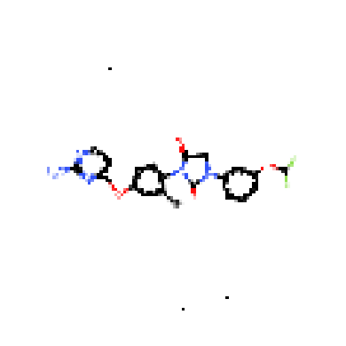 CC(C)c1cc(Oc2ccnc(N)n2)ccc1N1C(=O)CN(c2cccc(OC(F)F)c2)C1=O